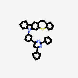 C1=Cc2cc3c4ccccc4n(-c4cccc(-c5cc(-c6ccccc6)nc(-c6ccccc6)n5)c4)c3cc2Sc2ccccc21